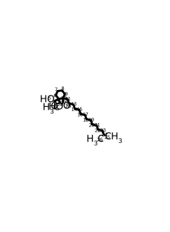 CCC1(C(=O)O)CCCCC1(CCCCCCCCCCCCCC(C)C)C(=O)O